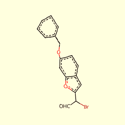 O=CC(Br)c1cc2ccc(OCc3ccccc3)cc2o1